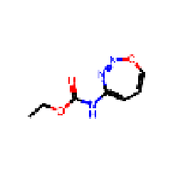 CCOC(=O)NC1=CC=CON=N1